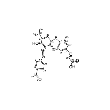 CC(=O)c1ccc(C#Cc2cc(Cc3c(C)cc(OCC(=O)O)cc3C)cc(C(C)C)c2O)cc1